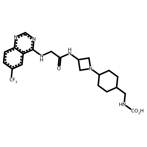 O=C(O)NCC1CCC(N2CC(NC(=O)CNc3ncnc4ccc(C(F)(F)F)cc34)C2)CC1